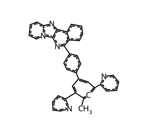 CC1=C=C(c2ccccn2)C=C(c2ccc(-c3nc4c(nc5ccccn54)c4ccccc34)cc2)C=C1c1ccccn1